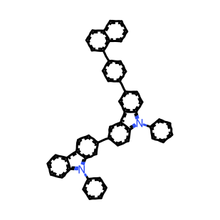 c1ccc(-n2c3ccc(-c4ccc(-c5cccc6ccccc56)cc4)cc3c3cc(-c4ccc5c6ccccc6n(-c6ccccc6)c5c4)ccc32)cc1